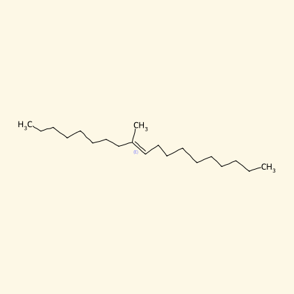 CCCCCCCCC/C=C(\C)CCCCCCCC